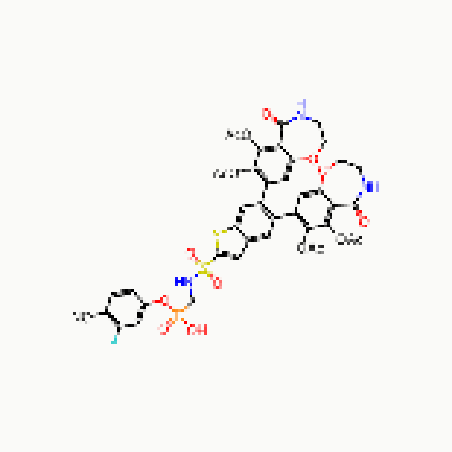 CC(=O)Oc1c(-c2cc3cc(S(=O)(=O)NCP(=O)(O)Oc4ccc(C#N)c(F)c4)sc3cc2-c2cc3c(c(OC(C)=O)c2OC(C)=O)C(=O)NCCO3)cc2c(c1OC(C)=O)C(=O)NCCO2